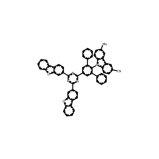 CC(C)(C)c1ccc2c(c1)c1cc(C#N)ccc1n2-c1c(-c2ccccc2)cc(-c2nc(-c3ccc4c(c3)oc3ccccc34)nc(-c3ccc4c(c3)oc3ccccc34)n2)cc1-c1ccccc1